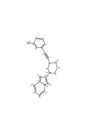 Clc1cccc(C#CC2CN(c3nc4ncccn4n3)CCO2)c1